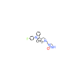 Cc1c(C2CCN(CCN3CCNC3=O)CC2)c2ccccc2n1-c1ccc(F)cc1